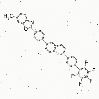 Cc1ccc2nc(-c3ccc(-c4ccc5cc(-c6ccc(-c7c(F)c(F)c(F)c(F)c7F)cc6)ccc5c4)cc3)oc2c1